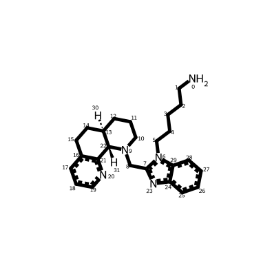 NCCCCCn1c(CN2CCC[C@@H]3CCc4cccnc4[C@H]32)nc2ccccc21